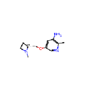 Cc1ncc(OC[C@H]2CCN2C)cc1N